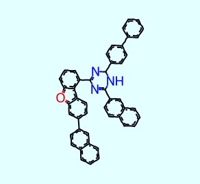 c1ccc(-c2ccc(C3N=C(c4cccc5oc6cc(-c7ccc8ccccc8c7)ccc6c45)N=C(c4ccc5ccccc5c4)N3)cc2)cc1